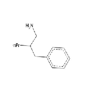 CC[CH]C(CN)Cc1ccccc1